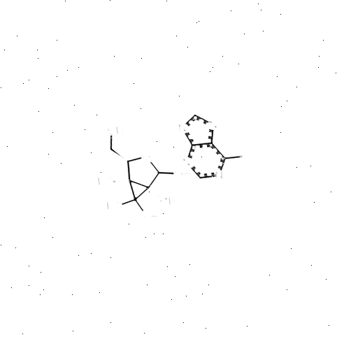 CC1(C)[C@]2(O)C(O)O[C@H](CO)[C@]12O.Clc1ncnc2nc[nH]c12